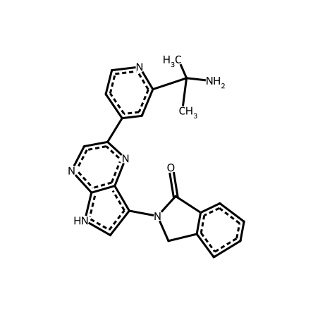 CC(C)(N)c1cc(-c2cnc3[nH]cc(N4Cc5ccccc5C4=O)c3n2)ccn1